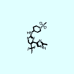 Cc1nc(-c2nc(NC3CCN(S(C)(=O)=O)CC3)ncc2C(F)(F)F)c[nH]1